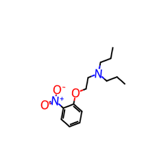 CCCN(CCC)CCOc1ccccc1[N+](=O)[O-]